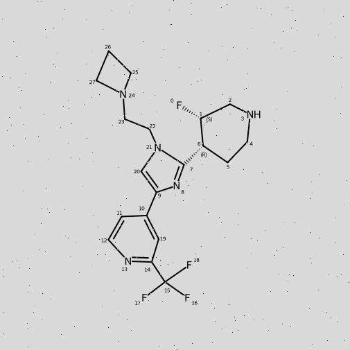 F[C@@H]1CNCC[C@@H]1c1nc(-c2ccnc(C(F)(F)F)c2)cn1CCN1CCC1